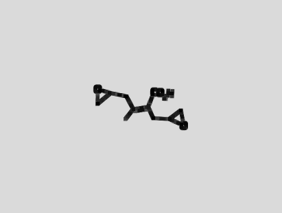 C/C(CC1CO1)=C(\CC1CO1)C(=O)O